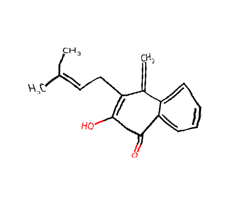 C=C1C(CC=C(C)C)=C(O)C(=O)c2ccccc21